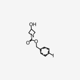 O=C(OCc1ccc(I)cc1)N1CC(O)C1